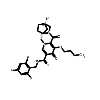 CCCCOc1c2n(cc(C(=O)NCc3c(F)cc(F)cc3F)c1=O)C[C@@]13CC[C@@H](CN1C2=O)C3